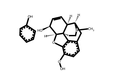 CN1CC[C@]23c4c5ccc(OO)c4O[C@H]2[C@@H](O)C=C[C@H]3[C@H]1C5.Oc1ccccc1